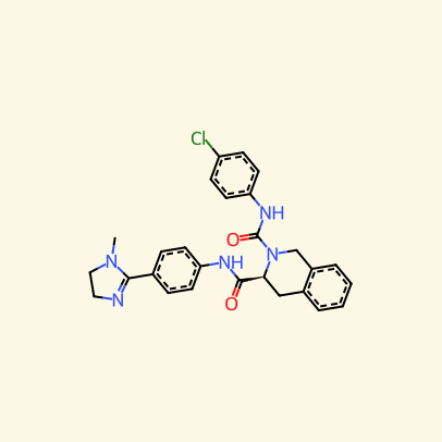 CN1CCN=C1c1ccc(NC(=O)[C@@H]2Cc3ccccc3CN2C(=O)Nc2ccc(Cl)cc2)cc1